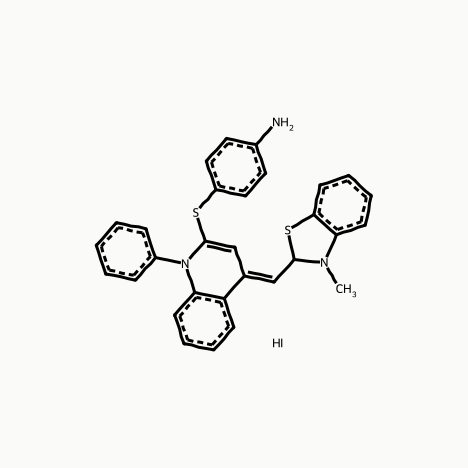 CN1c2ccccc2SC1C=C1C=C(Sc2ccc(N)cc2)N(c2ccccc2)c2ccccc21.I